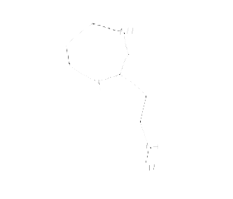 CNCCC1CNCCCN1